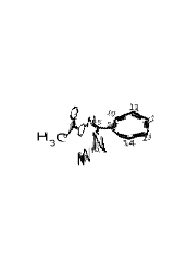 CC(=O)O/N=C(\N=[N+]=[N-])c1ccccc1